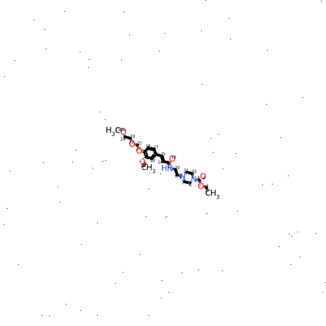 CCOC(=O)N1CCN(CCNC(=O)C=Cc2ccc(OCOCCOC)c(OC)c2)CC1